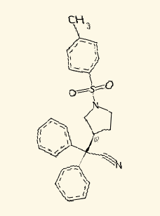 Cc1ccc(S(=O)(=O)N2CC[C@@H](C(C#N)(c3ccccc3)c3ccccc3)C2)cc1